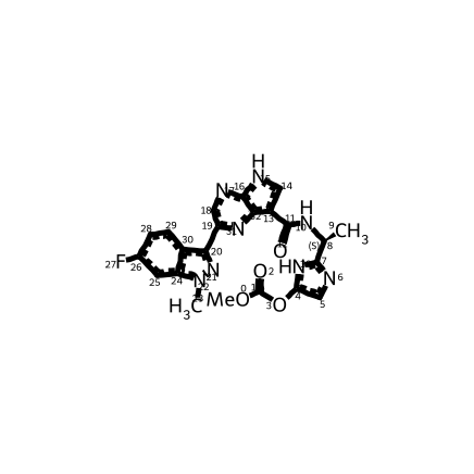 COC(=O)Oc1cnc([C@H](C)NC(=O)c2c[nH]c3ncc(-c4nn(C)c5cc(F)ccc45)nc23)[nH]1